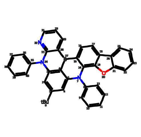 CC(C)(C)c1cc2c3c(c1)N(c1ccccc1)c1c(ccc4c1oc1ccccc14)B3c1cccnc1N2c1ccccc1